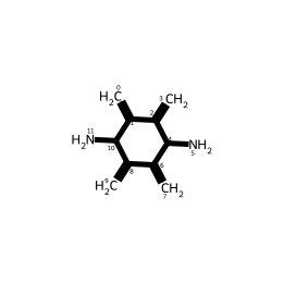 C=C1C(=C)C(N)C(=C)C(=C)C1N